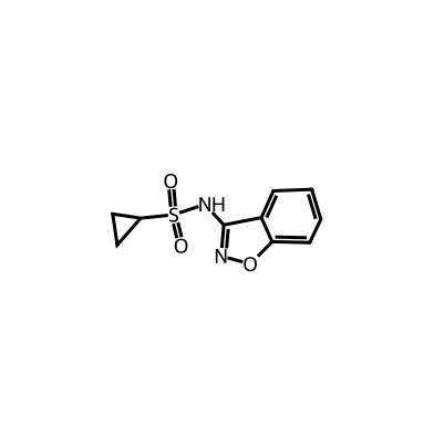 O=S(=O)(Nc1noc2ccccc12)C1CC1